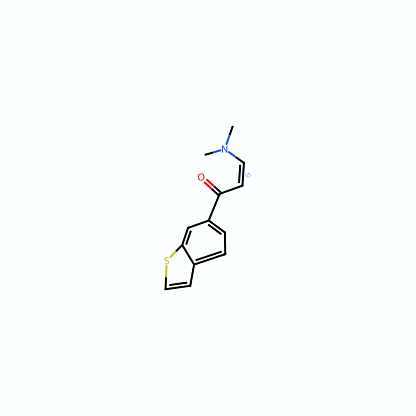 CN(C)/C=C\C(=O)c1ccc2ccsc2c1